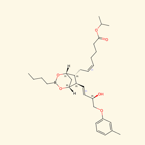 CCCCB1O[C@H]2C[C@@H](O1)[C@H](/C=C/[C@@H](O)COc1cccc(C)c1)[C@H]2C/C=C\CCCC(=O)OC(C)C